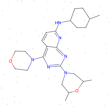 CC1CCC(Nc2ccc3c(N4CCOCC4)nc(N4CC(C)OC(C)C4)nc3n2)CC1